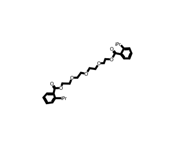 CC(C)c1ccccc1C(=O)OCCOCCOCCOCCOC(=O)c1ccccc1C(C)C